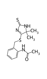 CC(=O)Nc1ccccc1CSC1=NC(=S)NC1(C)C